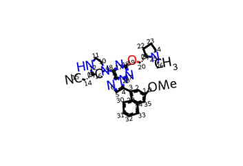 COc1cc(-c2cnc3c(N4CCN[C@@H](CC#N)C4)nc(OC[C@@H]4CCCN4C)nn23)c2ccccc2c1